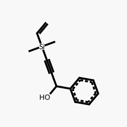 C=C[Si](C)(C)C#CC(O)c1ccccc1